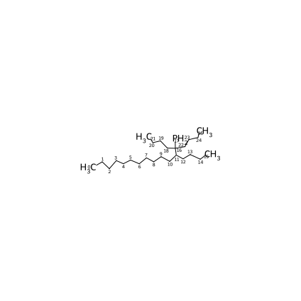 CCCCCCCCCCCC(CCCC)C(P)(CCCC)CCCC